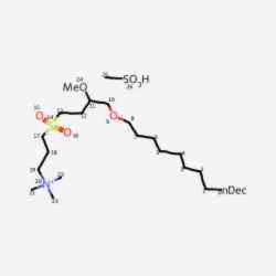 CCCCCCCCCCCCCCCCCCOCC(CCS(=O)(=O)CCC[N+](C)(C)C)OC.CS(=O)(=O)O